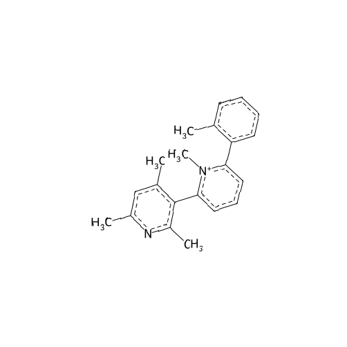 Cc1cc(C)c(-c2cccc(-c3ccccc3C)[n+]2C)c(C)n1